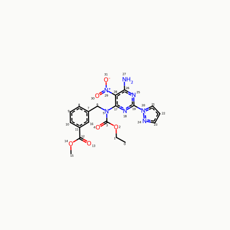 CCOC(=O)N(Cc1cccc(C(=O)OC)c1)c1nc(-n2cccn2)nc(N)c1[N+](=O)[O-]